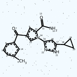 Cc1cccc(C(=O)c2cc(C(N)=O)n(-c3cc(C4CC4)[nH]n3)c2)c1